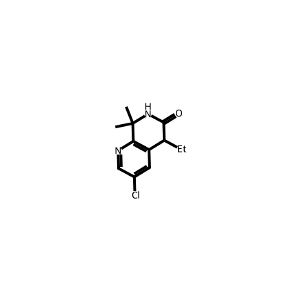 CCC1C(=O)NC(C)(C)c2ncc(Cl)cc21